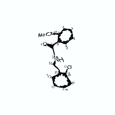 COc1ccccc1C(=O)NCc1ccccc1Cl